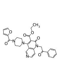 CCOC(=O)c1c(N2CCN(C(=O)c3ccco3)CC2)c2cnccc2n(CC(=O)c2ccccc2)c1=O